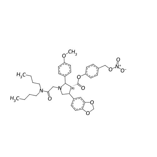 CCCCN(CCCC)C(=O)CN1CC(c2ccc3c(c2)OCO3)[C@@H](C(=O)Oc2ccc(CO[N+](=O)[O-])cc2)C1c1ccc(OC)cc1